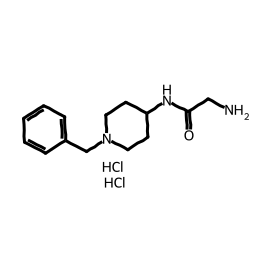 Cl.Cl.NCC(=O)NC1CCN(Cc2ccccc2)CC1